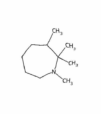 CC1CCCCN(C)C1(C)C